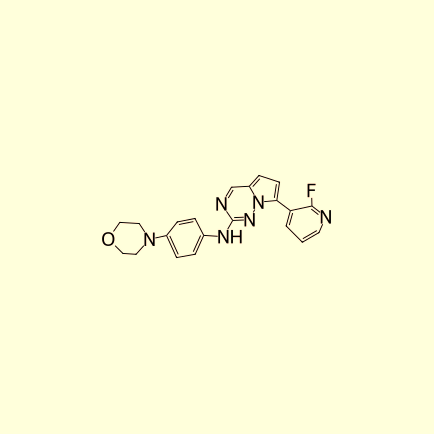 Fc1ncccc1-c1ccc2cnc(Nc3ccc(N4CCOCC4)cc3)nn12